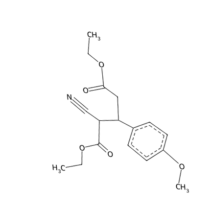 CCOC(=O)CC(c1ccc(OC)cc1)C(C#N)C(=O)OCC